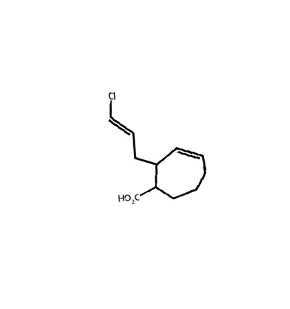 O=C(O)C1CCCC=CC1CC=CCl